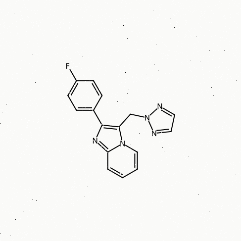 Fc1ccc(-c2nc3ccccn3c2Cn2nccn2)cc1